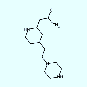 CC(C)CC1CC(CCN2CCNCC2)CCN1